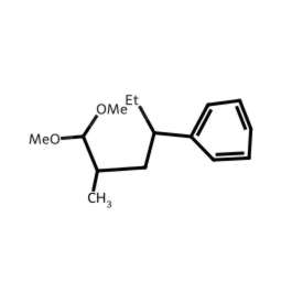 CCC(CC(C)C(OC)OC)c1ccccc1